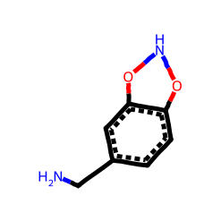 NCc1ccc2c(c1)ONO2